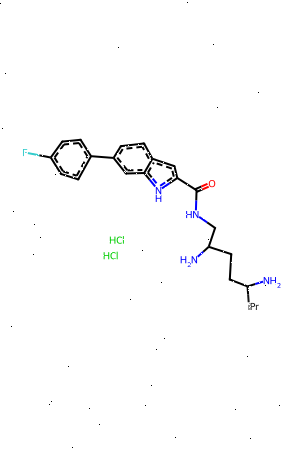 CC(C)C(N)CCC(N)CNC(=O)c1cc2ccc(-c3ccc(F)cc3)cc2[nH]1.Cl.Cl